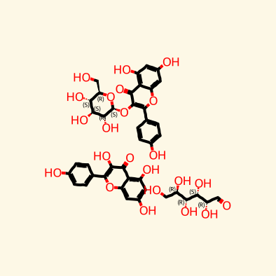 O=C[C@H](O)[C@@H](O)[C@H](O)[C@H](O)CO.O=c1c(O)c(-c2ccc(O)cc2)oc2cc(O)cc(O)c12.O=c1c(O[C@@H]2O[C@H](CO)[C@@H](O)[C@H](O)[C@H]2O)c(-c2ccc(O)cc2)oc2cc(O)cc(O)c12